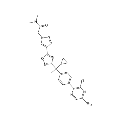 CN(C)C(=O)Cn1cc(-c2nc(C(C)(c3ccc(-c4ncc(N)nc4Cl)cc3)C3CC3)no2)cn1